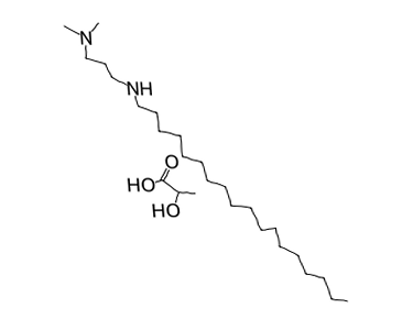 CC(O)C(=O)O.CCCCCCCCCCCCCCCCCCNCCCN(C)C